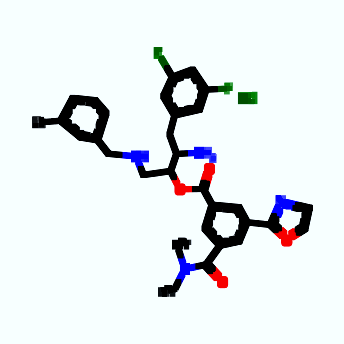 CCCN(CCC)C(=O)c1cc(C(=O)OC(CNCc2cccc(CC)c2)C(N)Cc2cc(F)cc(F)c2)cc(-c2ncco2)c1.Cl